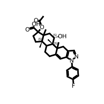 CC(=O)OC1(C(=O)O)CC[C@@]2(C)C3CCC4=Cc5c(cnn5-c5ccc(F)cc5)CC4(C)[C@@]3(C)[C@@H](O)CC12C